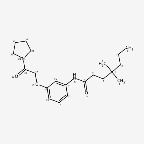 CCCC(C)(C)CCC(=O)Nc1cccc(OCC(=O)N2CCCC2)c1